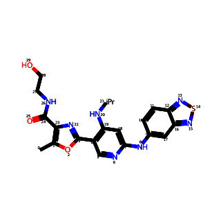 Cc1oc(-c2cnc(Nc3ccc4nsnc4c3)cc2NC(C)C)nc1C(=O)NCCO